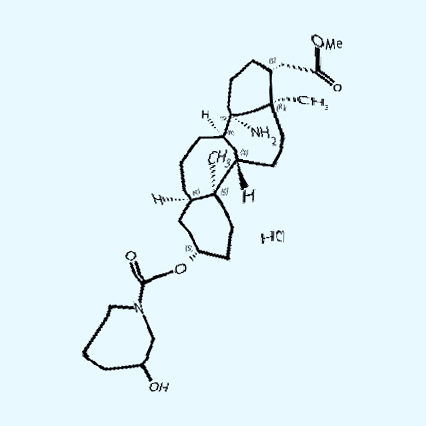 COC(=O)[C@H]1CC[C@]2(N)[C@@H]3CC[C@@H]4C[C@@H](OC(=O)N5CCCC(O)C5)CC[C@]4(C)[C@H]3CC[C@]12C.Cl